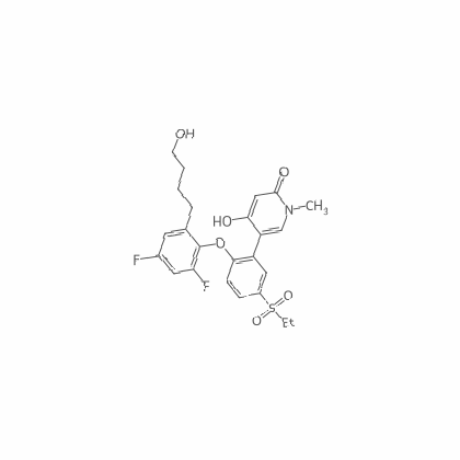 CCS(=O)(=O)c1ccc(Oc2c(F)cc(F)cc2CCCCO)c(-c2cn(C)c(=O)cc2O)c1